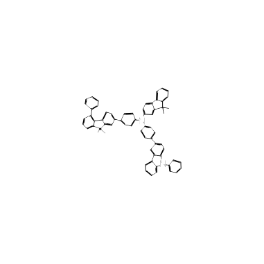 CC1(C)c2ccccc2-c2ccc(N(c3ccc(-c4ccc5c(c4)C(C)(C)c4cccc(-c6ccccc6)c4-5)cc3)c3ccc(-c4ccc5c(c4)c4ccccc4n5-c4ccccc4)cc3)cc21